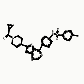 O=C(C1CC1)N1CC=C(c2cc3ncnc(-c4ccc(NS(=O)(=O)c5ccc(F)cc5)cc4)c3s2)CC1